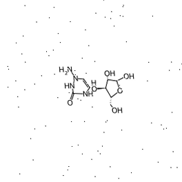 NN1C=CNC(=O)N1.OC[C@H]1OC(O)[C@@H](O)[C@@H]1O